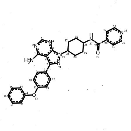 Nc1ncnc2c1c(-c1ccc(Oc3ccccc3)cc1)nn2C1CCC(NC(=O)c2ccncc2)CC1